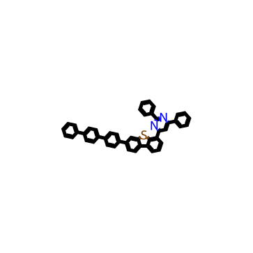 c1ccc(-c2ccc(-c3ccc(-c4ccc5c(c4)sc4c(-c6cc(-c7ccccc7)nc(-c7ccccc7)n6)cccc45)cc3)cc2)cc1